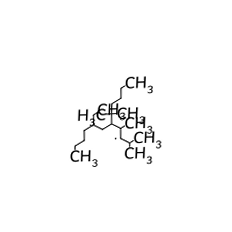 CCCCC(CC)CC(C(C)[CH]C(C)C)C(C)(C)CCCC